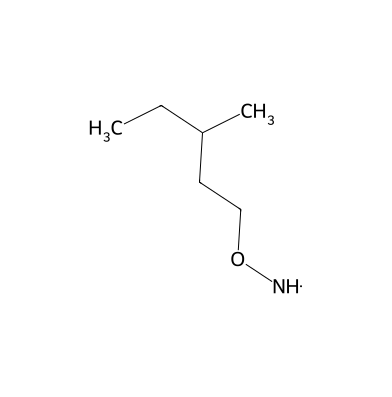 CCC(C)CCO[NH]